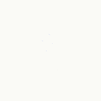 C=C/C=C\c1c(C=C)c(/C=C\C)n(-c2nc(-c3ccccc3)nc(-c3ccccc3)n2)c1C